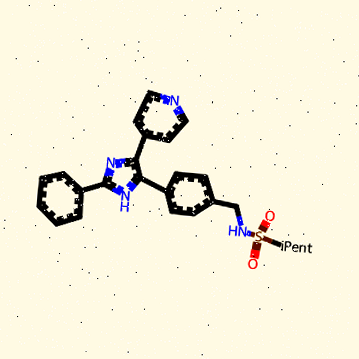 CCCC(C)S(=O)(=O)NCc1ccc(-c2[nH]c(-c3ccccc3)nc2-c2ccncc2)cc1